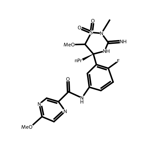 CCC[C@]1(c2cc(NC(=O)c3cnc(OC)cn3)ccc2F)NC(=N)N(C)S(=O)(=O)C1OC